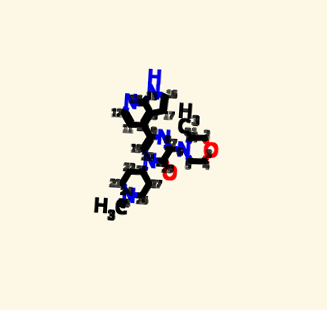 C[C@@H]1COCCN1c1nc(-c2ccnc3[nH]ccc23)cn(C2CCN(C)CC2)c1=O